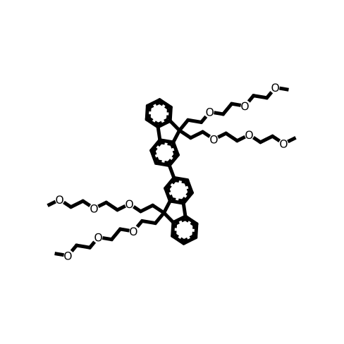 COCCOCCOCCC1(CCOCCOCCOC)c2ccccc2-c2ccc(-c3ccc4c(c3)C(CCOCCOCCOC)(CCOCCOCCOC)c3ccccc3-4)cc21